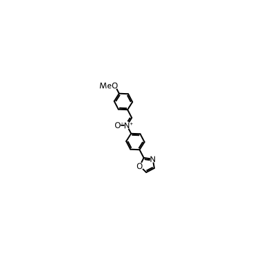 COc1ccc(C=[N+]([O-])c2ccc(-c3ncco3)cc2)cc1